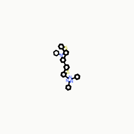 c1ccc(-c2nc(-c3ccccc3)nc(-c3cccc4c3sc3ccc(-c5ccc6c(c5)c5ccc7sc8ccccc8c7c5n6C5CCCCC5)cc34)n2)cc1